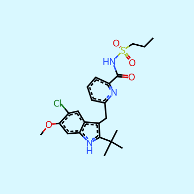 CCCS(=O)(=O)NC(=O)c1cccc(Cc2c(C(C)(C)C)[nH]c3cc(OC)c(Cl)cc23)n1